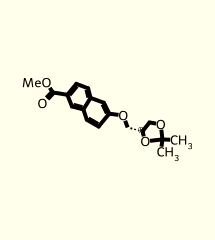 COC(=O)c1ccc2cc(OC[C@@H]3COC(C)(C)O3)ccc2c1